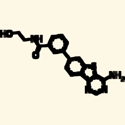 Nc1ncnc2c1sc1cc(-c3cccc(C(=O)NCCO)c3)ccc12